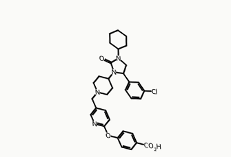 O=C(O)c1ccc(Oc2ccc(CN3CCC(N4C(=O)N(C5CCCCC5)CC4c4cccc(Cl)c4)CC3)cn2)cc1